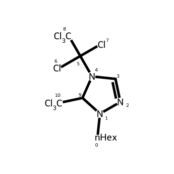 CCCCCCN1N=CN(C(Cl)(Cl)C(Cl)(Cl)Cl)C1C(Cl)(Cl)Cl